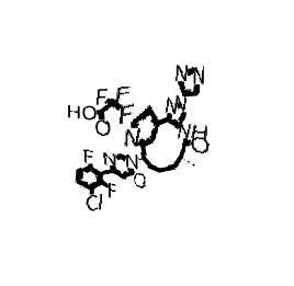 C[C@@H]1CCC[C@H](n2cnc(-c3c(F)ccc(Cl)c3F)cc2=O)c2cc(ccn2)-c2nn(-c3cncnc3)cc2NC1=O.O=C(O)C(F)(F)F